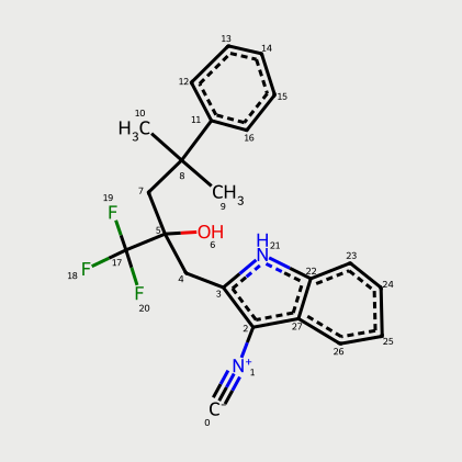 [C-]#[N+]c1c(CC(O)(CC(C)(C)c2ccccc2)C(F)(F)F)[nH]c2ccccc12